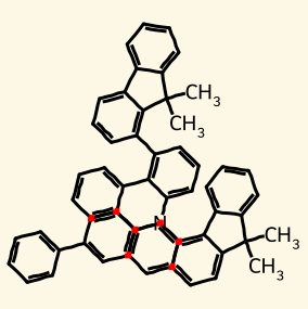 CC1(C)c2ccccc2-c2c(N(c3ccc(-c4ccccc4)cc3)c3cccc(-c4cccc5c4C(C)(C)c4ccccc4-5)c3-c3ccccc3-c3ccccc3)cccc21